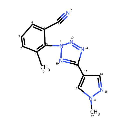 Cc1cccc(C#N)c1-n1nnc(-c2cnn(C)c2)n1